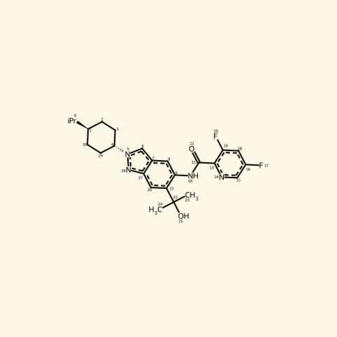 CC(C)[C@H]1CC[C@H](n2cc3cc(NC(=O)c4ncc(F)cc4F)c(C(C)(C)O)cc3n2)CC1